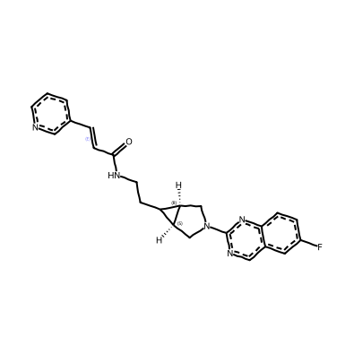 O=C(/C=C/c1cccnc1)NCCC1[C@H]2CN(c3ncc4cc(F)ccc4n3)C[C@@H]12